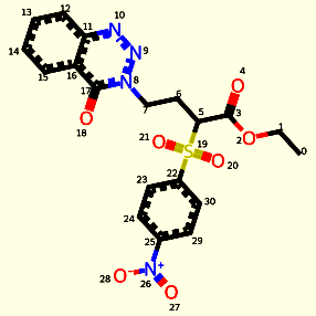 CCOC(=O)C(CCn1nnc2ccccc2c1=O)S(=O)(=O)c1ccc([N+](=O)[O-])cc1